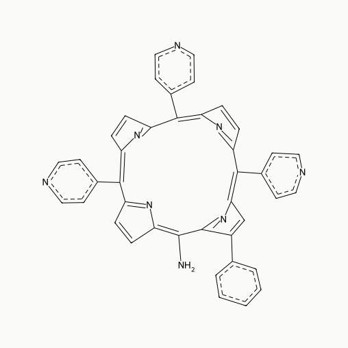 NC1=C2C=CC(=N2)C(c2ccncc2)=C2C=CC(=N2)C(c2ccncc2)=C2C=CC(=N2)C(c2ccncc2)=C2C=C(c3ccccc3)C1=N2